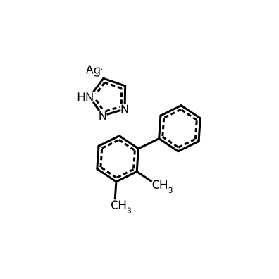 Cc1cccc(-c2ccccc2)c1C.[Ag].c1c[nH]nn1